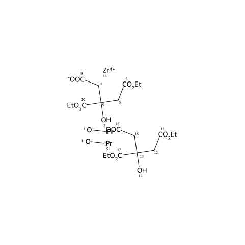 CC(C)[O-].CC(C)[O-].CCOC(=O)CC(O)(CC(=O)[O-])C(=O)OCC.CCOC(=O)CC(O)(CC(=O)[O-])C(=O)OCC.[Zr+4]